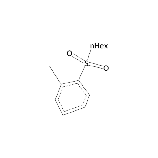 CCCCCCS(=O)(=O)c1ccccc1C